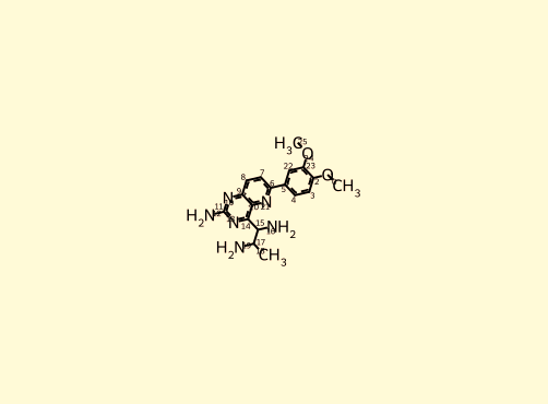 COc1ccc(-c2ccc3nc(N)nc(C(N)C(C)N)c3n2)cc1OC